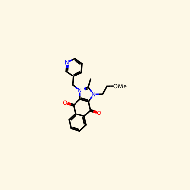 COCCn1c2c([n+](Cc3cccnc3)c1C)C(=O)c1ccccc1C2=O